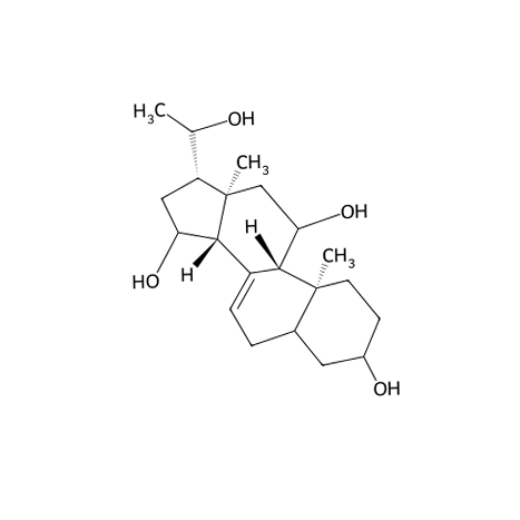 CC(O)[C@H]1CC(O)[C@H]2C3=CCC4CC(O)CC[C@]4(C)[C@H]3C(O)C[C@]12C